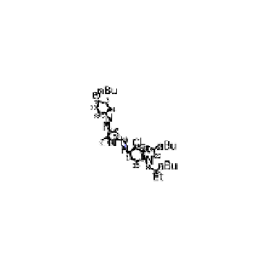 CCCCOc1ccc(N=Nc2sc(/N=N/c3ccc(N(CC(CC)CCCC)CC(CC)CCCC)cc3Cl)nc2C)cc1